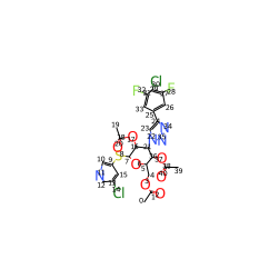 CC(=O)OCC1OC(Sc2cncc(Cl)c2)C(OC(C)=O)C(n2cc(-c3cc(F)c(Cl)c(F)c3)nn2)C1OC(C)=O